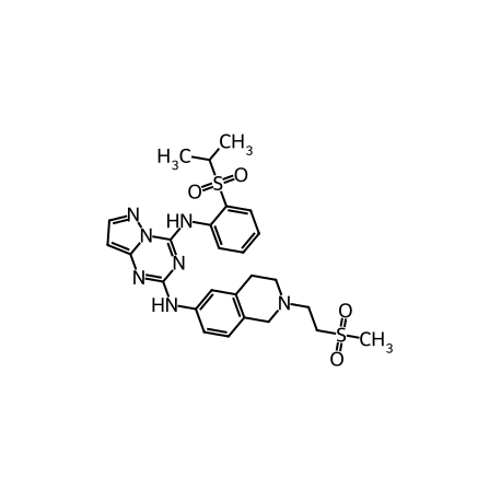 CC(C)S(=O)(=O)c1ccccc1Nc1nc(Nc2ccc3c(c2)CCN(CCS(C)(=O)=O)C3)nc2ccnn12